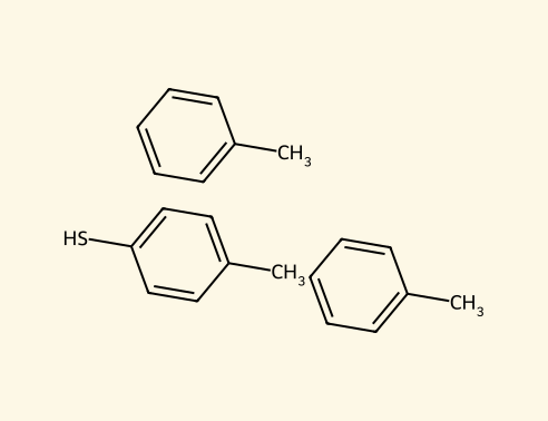 Cc1ccc(S)cc1.Cc1ccccc1.Cc1ccccc1